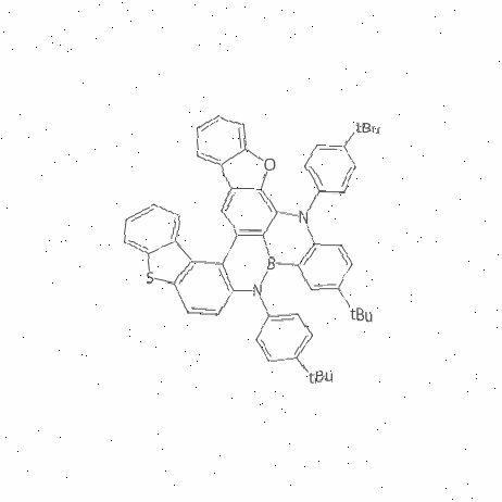 CC(C)(C)c1ccc(N2B3c4cc(C(C)(C)C)ccc4N(c4ccc(C(C)(C)C)cc4)c4c3c(cc3c4oc4ccccc43)-c3c2ccc2sc4ccccc4c32)cc1